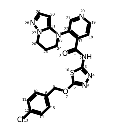 O=C(Nc1nnc(OCc2ccc(Cl)cc2)s1)c1ccncc1N1CCCn2nccc21